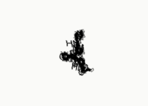 CCCS(=O)(=O)Nc1cccc(-c2nc(C3CCOCC3)sc2-c2ccnc(NCCN3CCN(C)CC3)n2)c1F